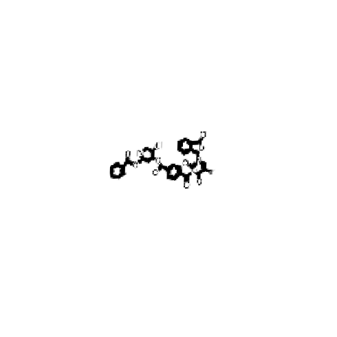 O=C(Oc1cc(OC(=O)c2ccc(C(=O)n3c(=O)c(F)cn(C4OC(=O)c5ccccc54)c3=O)cc2)c(Cl)cn1)c1ccccc1